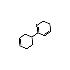 C1=CC(C2CC=CCC2)=NCC1